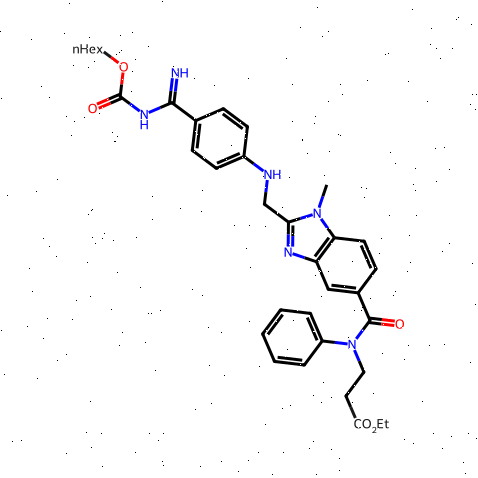 CCCCCCOC(=O)NC(=N)c1ccc(NCc2nc3cc(C(=O)N(CCC(=O)OCC)c4ccccc4)ccc3n2C)cc1